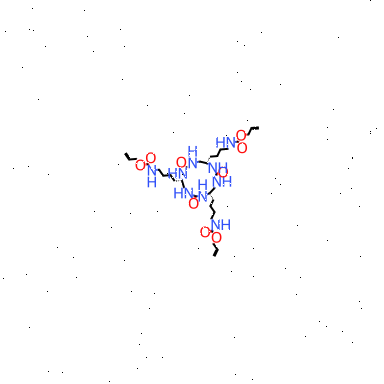 C=CCOC(=O)NCCCC[C@H]1CNC(=O)N[C@@H](CCCCNC(=O)OCC=C)CNC(=O)N[C@@H](CCCCNC(=O)OCC=C)CNC(=O)N1